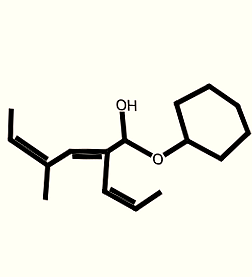 C\C=C/C(=C\C(C)=C/C)C(O)OC1CCCCC1